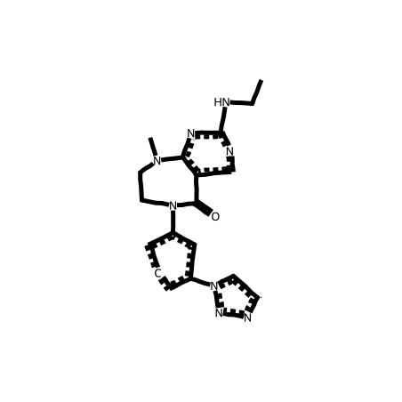 CCNc1ncc2c(n1)N(C)CCN(c1cccc(-n3c[c]nn3)c1)C2=O